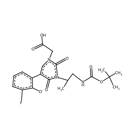 CC(CNC(=O)OC(C)(C)C)n1c(=O)c(-c2cccc(F)c2Cl)cn(CC(=O)O)c1=O